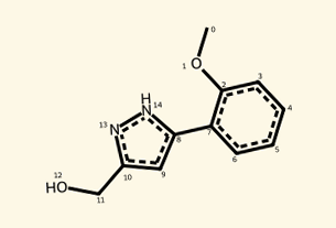 COc1ccccc1-c1cc(CO)n[nH]1